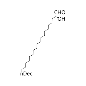 CCCCCCCCCCCCCCCCCCCCCCCCCCCC(O)C=O